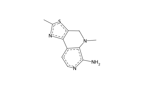 Cc1nc2c(s1)CN(C)c1c-2ccnc1N